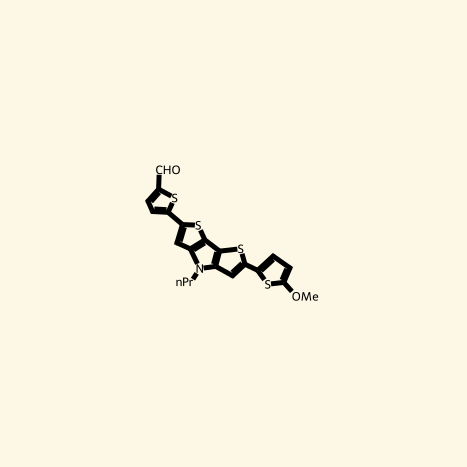 CCCn1c2cc(-c3ccc(C=O)s3)sc2c2sc(-c3ccc(OC)s3)cc21